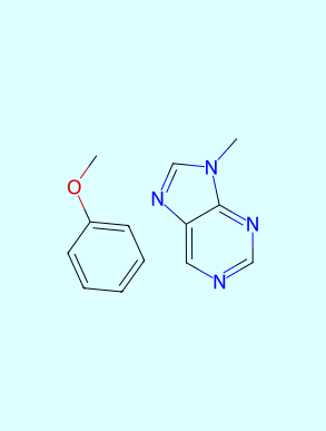 COc1ccccc1.Cn1cnc2cncnc21